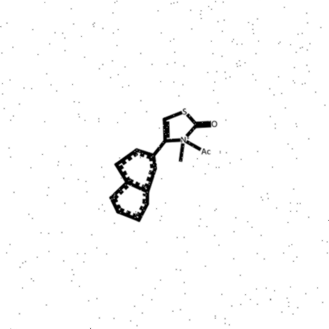 CC(=O)[N+]1(C)C(=O)SC=C1c1ccc2ccccc2c1